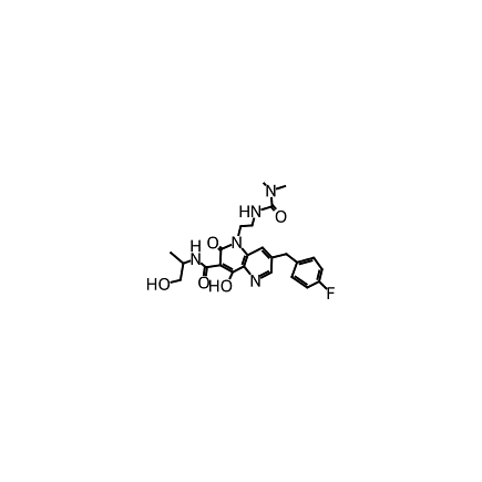 CC(CO)NC(=O)c1c(O)c2ncc(Cc3ccc(F)cc3)cc2n(CCNC(=O)N(C)C)c1=O